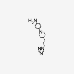 Nc1ccc(N2CCC(CCCn3cncn3)CC2)cc1